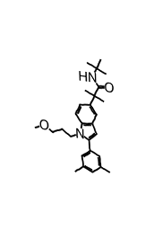 COCCCn1c(-c2cc(C)cc(C)c2)cc2cc(C(C)(C)C(=O)NC(C)(C)C)ccc21